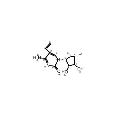 C=Cc1cn([C@@H]2O[C@H](C)[C@@H](O)[C@H]2O)c(=O)nc1N